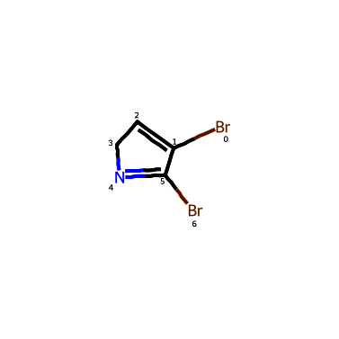 BrC1=CCN=C1Br